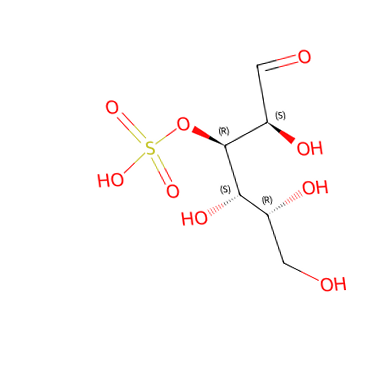 O=C[C@@H](O)[C@H](OS(=O)(=O)O)[C@@H](O)[C@H](O)CO